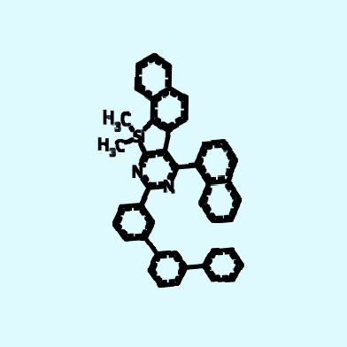 C[Si]1(C)c2nc(-c3cccc(-c4cccc(-c5ccccc5)c4)c3)nc(-c3cccc4ccccc34)c2-c2ccc3ccccc3c21